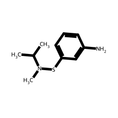 CC(C)N(C)Sc1cccc(N)c1